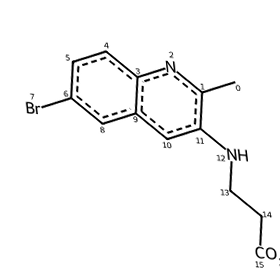 Cc1nc2ccc(Br)cc2cc1NCCC(=O)O